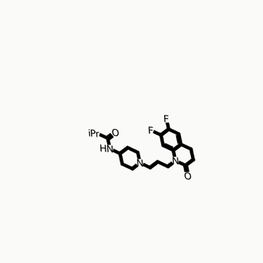 CC(C)C(=O)NC1CCN(CCCN2C(=O)CCC3=CC(F)C(F)C=C32)CC1